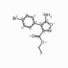 CCOC(=O)c1noc(N)c1-c1ccc(Br)cc1